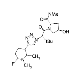 CNC(=O)[C@@H]1C[C@@H](O)CN1C(=O)[C@@H](n1cc(C2CCC(F)N(C)C2C)nn1)C(C)(C)C